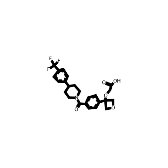 O=C(O)COC1(c2ccc(C(=O)N3CCC(c4ccc(C(F)(F)F)cc4)CC3)cc2)COC1